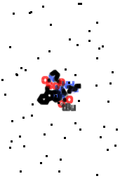 C=C/C=C(\C)C[C@H](NC(=O)OC(C)(C)C)/C(N)=N/OC(=O)[C@@H]1CCCN1C(=O)OCC1c2ccccc2-c2ccccc21